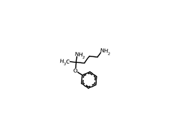 CC(N)(CCCN)Oc1ccccc1